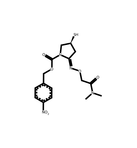 CN(C)C(=O)CO/N=C1\C[C@H](S)CN1C(=O)OCc1ccc([N+](=O)[O-])cc1